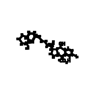 O=C(O)[C@H](c1cc(I)ccc1CO)N1CCC([C@H](F)CCCCc2ccc3c(n2)N(I)CCC3)C1